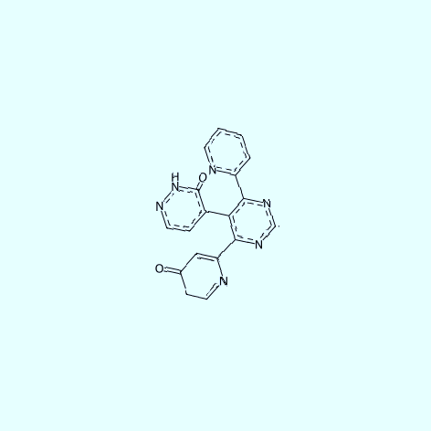 O=C1C=C(c2n[c]nc(-c3ccccn3)c2-c2ccn[nH]c2=O)N=CC1